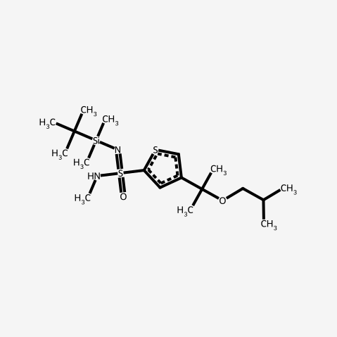 CNS(=O)(=N[Si](C)(C)C(C)(C)C)c1cc(C(C)(C)OCC(C)C)cs1